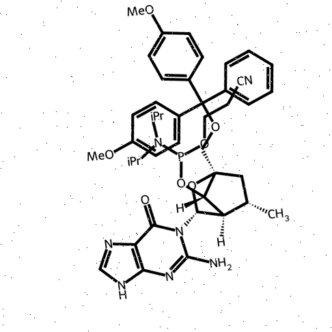 COc1ccc(C(OC[C@@]23C[C@H](C)[C@@H]([C@H](n4c(N)nc5[nH]cnc5c4=O)O2)[C@@H]3OP(OCCC#N)N(C(C)C)C(C)C)(c2ccccc2)c2ccc(OC)cc2)cc1